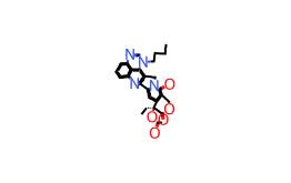 CCCCN1C=Nc2cccc3nc4c(c1c23)Cn1c-4cc2c(c1=O)COC(=O)[C@@]2(CC)OC(C)=O